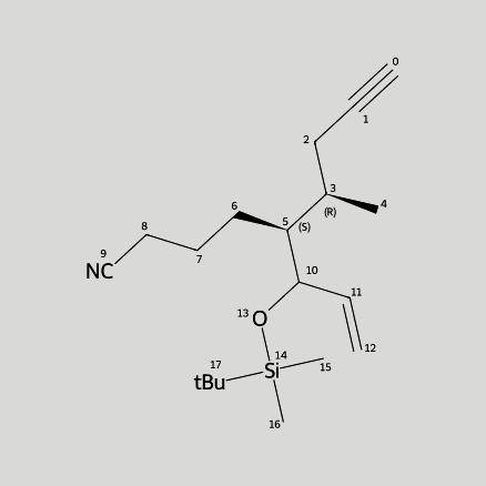 C#CC[C@@H](C)[C@H](CCCC#N)C(C=C)O[Si](C)(C)C(C)(C)C